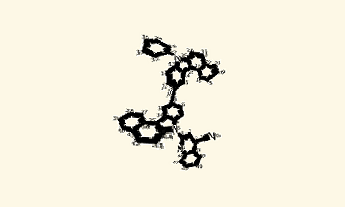 N#Cc1cc(-n2c3ccc(-c4ccc5c(c4)c4c6ccccc6ccc4n5-c4ccccc4)cc3c3c4ccccc4ccc32)nc2ccccc12